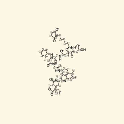 CC[C@@]1(O)C(=O)OCc2c1cc1n(c2=O)Cc2c-1nc1cc(F)c(C)c3c1c2[C@@H](NC(=O)CNC(=O)[C@H](Cc1ccccc1)NC(=O)CNC(=O)CNC(=O)[C@@H](CC(=O)O)NC(=O)CCCCCN1C(=O)C=CC1=O)CC3